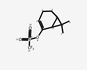 CC1(C)C2CCC=C(OS(=O)(=O)C(F)(F)F)C21